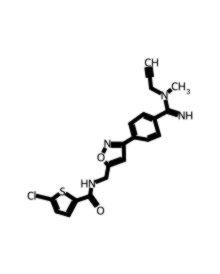 C#CCN(C)C(=N)c1ccc(-c2cc(CNC(=O)c3ccc(Cl)s3)on2)cc1